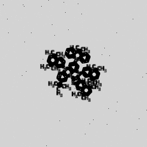 CC(C)(C)c1ccc2c(c1)B1c3sc4cc5c(cc4c3N(c3ccc4c(c3)C(C)(C)CCC4(C)C)c3cc(N4c6ccccc6C(C)(C)c6ccccc64)cc(c31)N2c1ccc2c(c1)C(C)(C)CCC2(C)C)C(C)(C)CCC5(C)C